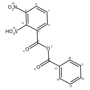 O=C(OC(=O)c1cccc([N+](=O)[O-])c1S(=O)(=O)O)c1ccccc1